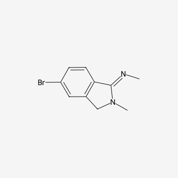 CN=C1c2ccc(Br)cc2CN1C